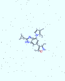 Cc1ccn(-c2cc(-c3c(C)noc3C)cc3[nH]c(C4CC4)nc23)c1C